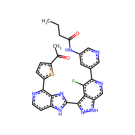 CCCC(=O)Nc1cncc(-c2ncc3[nH]nc(-c4nc5c(-c6ccc(C(C)=O)s6)nccc5[nH]4)c3c2F)c1